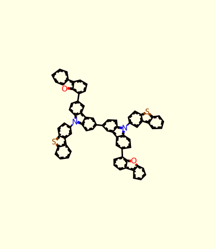 c1ccc2c(c1)oc1c(-c3ccc4c(c3)c3cc(-c5ccc6c(c5)c5cc(-c7cccc8c7oc7ccccc78)ccc5n6-c5ccc6sc7ccccc7c6c5)ccc3n4-c3ccc4sc5ccccc5c4c3)cccc12